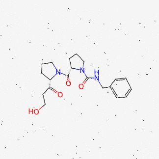 O=C(CCO)[C@@H]1CCCN1C(=O)[C@@H]1CCCN1C(=O)NCc1ccccc1